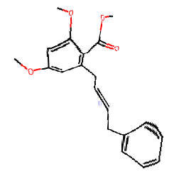 COC(=O)c1c(C/C=C/Cc2ccccc2)cc(OC)cc1OC